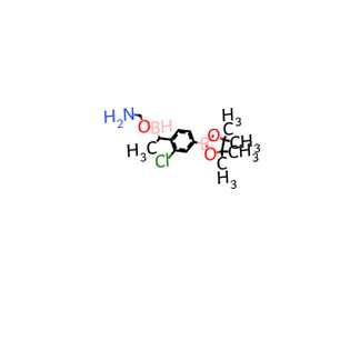 CC(BOCN)c1ccc(B2OC(C)(C)C(C)(C)O2)cc1Cl